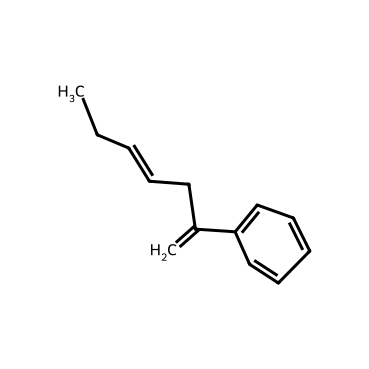 C=C(CC=CCC)c1ccccc1